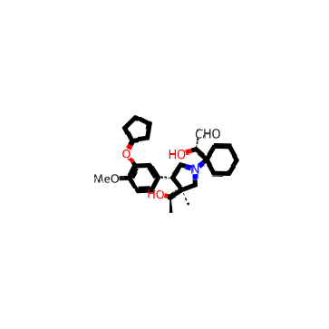 COc1ccc([C@@H]2CN(C3([C@H](O)C=O)CCCCC3)C[C@@]2(C)[C@@H](C)O)cc1OC1CCCC1